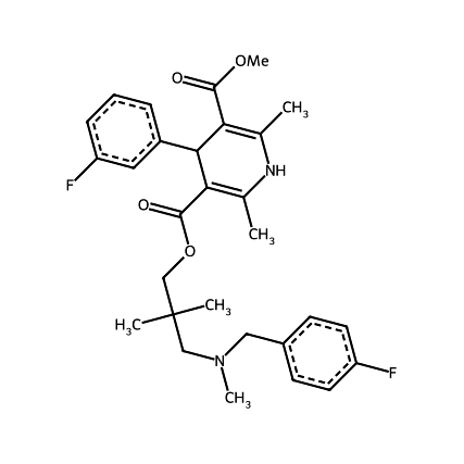 COC(=O)C1=C(C)NC(C)=C(C(=O)OCC(C)(C)CN(C)Cc2ccc(F)cc2)C1c1cccc(F)c1